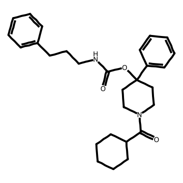 O=C(NCCCc1ccccc1)OC1(c2ccccc2)CCN(C(=O)C2CCCCC2)CC1